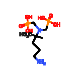 CC(CCCN)(C(=O)O)N(CP(=O)(O)O)CP(=O)(O)O